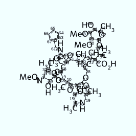 CON=C1C[C@@H](C)O[C@@H](O[C@@H]2[C@@H](C)[C@H](O[C@H]3C[C@@H](C)NC[C@H](C)O3)[C@@H](C)C(=O)OCCC(CC(C)(C)[C@H](C(=O)O)C(C)CO[C@@H]3O[C@H](C)[C@@H](O)[C@@H](OC)[C@H]3OC)[C@@H](C)C(=O)[C@@](C)(OC(=O)NCc3ccccc3)C[C@@H]2C)[C@@H]1O